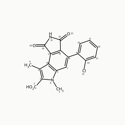 Cc1c(C(=O)O)n(C)c2cc(-c3ccccc3Cl)c3c(c12)C(=O)NC3=O